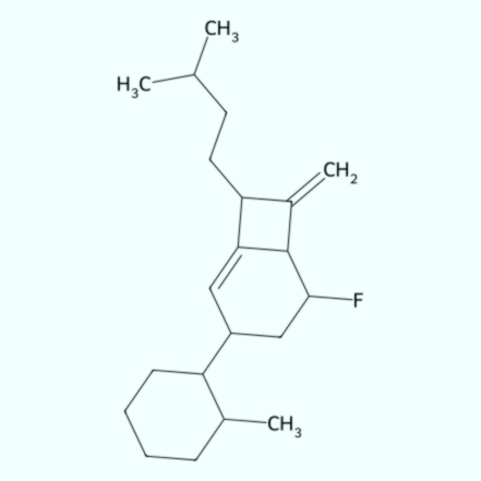 C=C1C(CCC(C)C)C2=CC(C3CCCCC3C)CC(F)C12